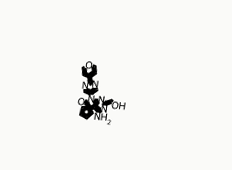 Nc1nc(CO)nc2c1C1(CCCC1)C(=O)N2c1cnc(C2=CCOCC2)nc1